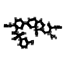 CNC(=O)[C@H](C)Cn1cnc2ccc(-c3cnc(OC)c(NS(=O)(=O)c4cccc(Cl)c4)c3)cc2c1=O